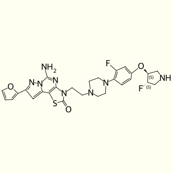 Nc1nc2c(sc(=O)n2CCN2CCN(c3ccc(O[C@H]4CNC[C@@H]4F)cc3F)CC2)c2cc(-c3ccco3)nn12